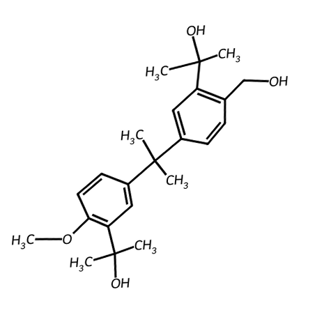 COc1ccc(C(C)(C)c2ccc(CO)c(C(C)(C)O)c2)cc1C(C)(C)O